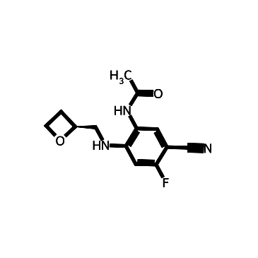 CC(=O)Nc1cc(C#N)c(F)cc1NC[C@@H]1CCO1